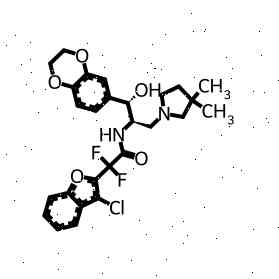 CC1(C)CCN(C[C@@H](NC(=O)C(F)(F)c2oc3ccccc3c2Cl)[C@@H](O)c2ccc3c(c2)OCCO3)C1